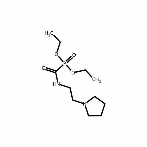 CCOP(=O)(OCC)C(=O)NCCN1CCCC1